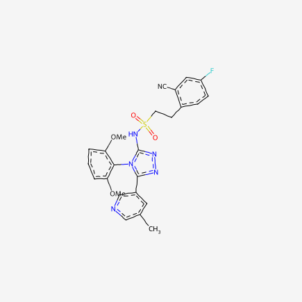 COc1cccc(OC)c1-n1c(NS(=O)(=O)CCc2ccc(F)cc2C#N)nnc1-c1cncc(C)c1